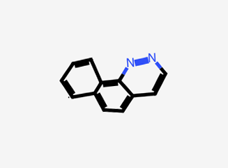 [c]1cccc2c1ccc1ccnnc12